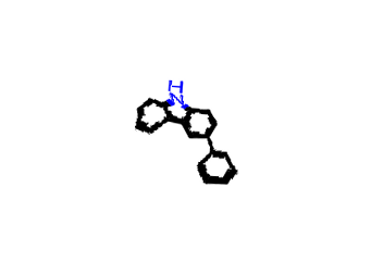 C1=C=CC(c2ccc3[nH]c4ccccc4c3c2)=CC=1